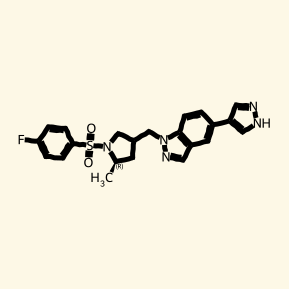 C[C@@H]1CC(Cn2ncc3cc(-c4cn[nH]c4)ccc32)CN1S(=O)(=O)c1ccc(F)cc1